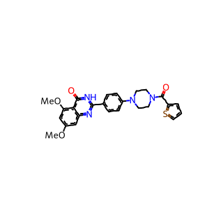 COc1cc(OC)c2c(=O)[nH]c(-c3ccc(N4CCN(C(=O)c5cccs5)CC4)cc3)nc2c1